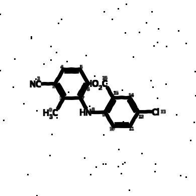 Cc1c(C#N)cccc1Nc1ccc(Cl)cc1C(=O)O